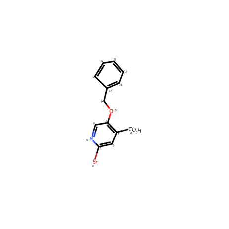 O=C(O)c1cc(Br)ncc1OCc1ccccc1